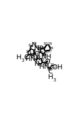 Cc1cc2cnn(C(C)C)c2cc1Nc1ncc(C(=O)N[C@H](C)CO)c(N[C@H]2c3ccccc3C[C@H]2O)n1